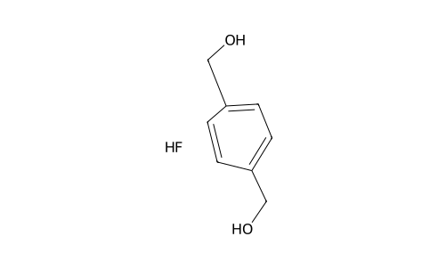 F.OCc1ccc(CO)cc1